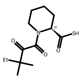 CCC(C)(C)C(=O)C(=O)N1CCCC[C@H]1C(=O)S